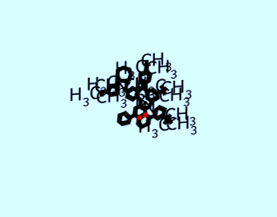 CC(C)(C)c1ccc(N2c3cc(N4c5ccc(C(C)(C)C)cc5C5(C)CCCCCCC45C)ccc3B3c4cc(-c5ccccc5)ccc4N(c4ccc(C(C)(C)C)cc4-c4ccccc4)c4cc(C(C)(C)C)cc2c43)cc1